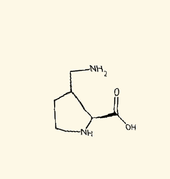 NCC1CCN[C@@H]1C(=O)O